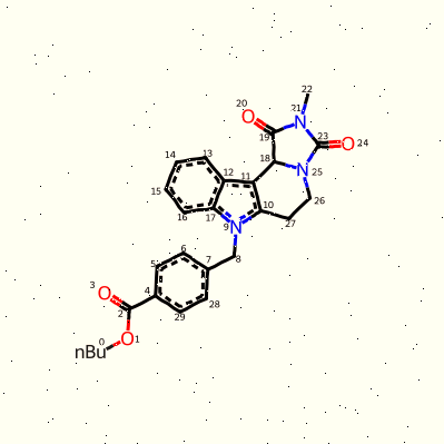 CCCCOC(=O)c1ccc(Cn2c3c(c4ccccc42)C2C(=O)N(C)C(=O)N2CC3)cc1